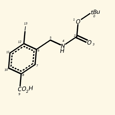 CC(C)(C)OC(=O)NCc1cc(C(=O)O)ccc1I